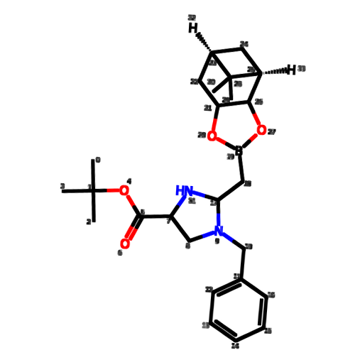 CC(C)(C)OC(=O)C1CN(Cc2ccccc2)C(CB2OC3C[C@H]4C[C@@H](C3O2)C4(C)C)N1